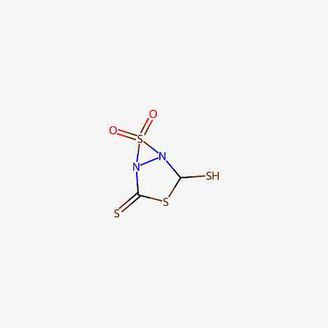 O=S1(=O)N2C(=S)SC(S)N21